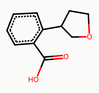 O=C(O)c1ccccc1C1CCOC1